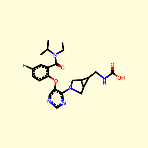 CCN(C(=O)c1cc(F)ccc1Oc1cncnc1N1CC2C(CNC(=O)O)C2C1)C(C)C